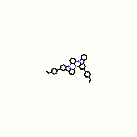 C=Cc1ccc(-c2ccc3c(c2)c2cccc4c2n3-c2cccc3c2B4c2cc(-c4ccc(C=C)cc4)cc4c5ccccc5n-3c24)cc1